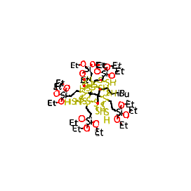 CCO[Si](CCS(S)(SS)C(CCC(C)CC)C(C)(C(S(S)(CC[Si](OCC)(OCC)OCC)SS)(S(S)(CC[Si](OCC)(OCC)OCC)SS)S(S)(CC[Si](OCC)(OCC)OCC)SS)S(S)(CC[Si](OCC)(OCC)OCC)SS)(OCC)OCC